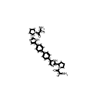 C[C@H](N)C(=O)N1CCCC1c1ncc(-c2ccc(-c3ccc(-c4cnc([C@@H]5CCCN5C(=O)[C@H](C)N)[nH]4)cc3)cc2)[nH]1